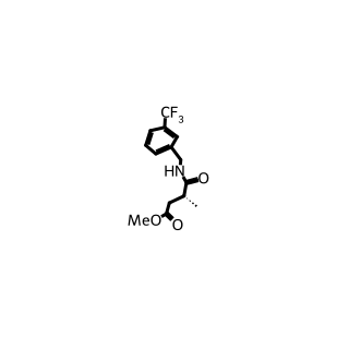 COC(=O)C[C@@H](C)C(=O)NCc1cccc(C(F)(F)F)c1